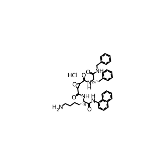 Cl.NCCCC[C@H](NC(=O)C1OC1C(=O)N[C@@H](Cc1ccccc1)C(=O)NCc1ccccc1)C(=O)Nc1cccc2ccccc12